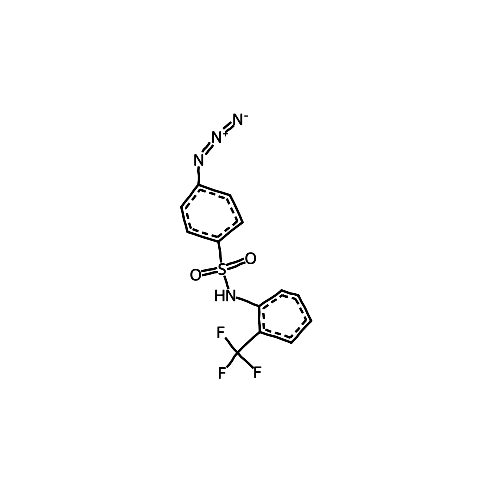 [N-]=[N+]=Nc1ccc(S(=O)(=O)Nc2ccccc2C(F)(F)F)cc1